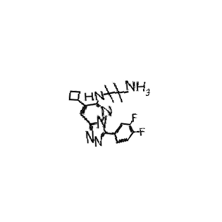 CC(C)(C)C(C)(C)Nc1nn2c(-c3ccc(F)c(F)c3)nnc2cc1C1CCC1.N